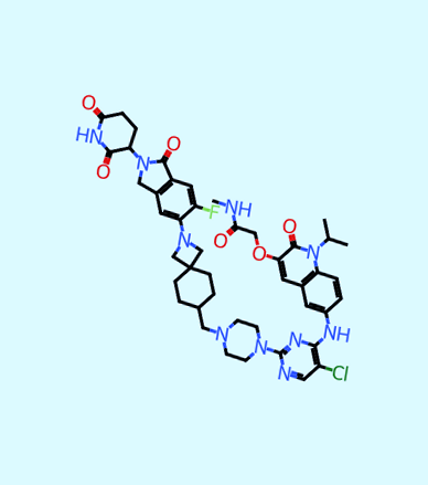 CNC(=O)COc1cc2cc(Nc3nc(N4CCN(CC5CCC6(CC5)CN(c5cc7c(cc5F)C(=O)N(C5CCC(=O)NC5=O)C7)C6)CC4)ncc3Cl)ccc2n(C(C)C)c1=O